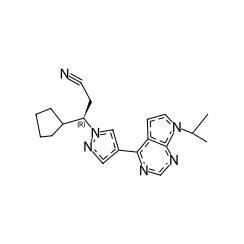 CC(C)n1ccc2c(-c3cnn([C@H](CC#N)C4CCCC4)c3)ncnc21